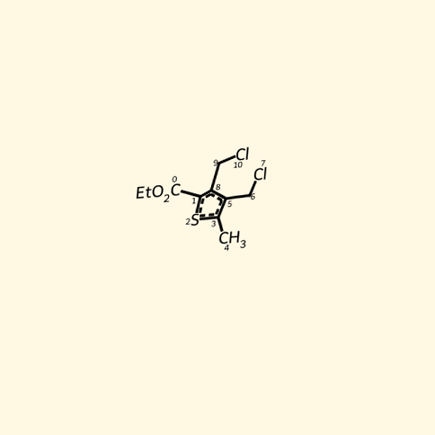 CCOC(=O)c1sc(C)c(CCl)c1CCl